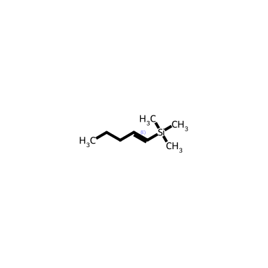 CCC/C=C/[Si](C)(C)C